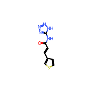 O=C(C=Cc1ccsc1)Nc1nnn[nH]1